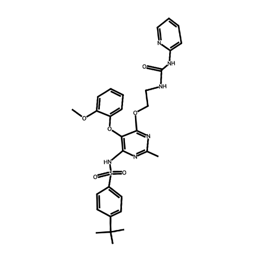 COc1ccccc1Oc1c(NS(=O)(=O)c2ccc(C(C)(C)C)cc2)nc(C)nc1OCCNC(=O)Nc1ccccn1